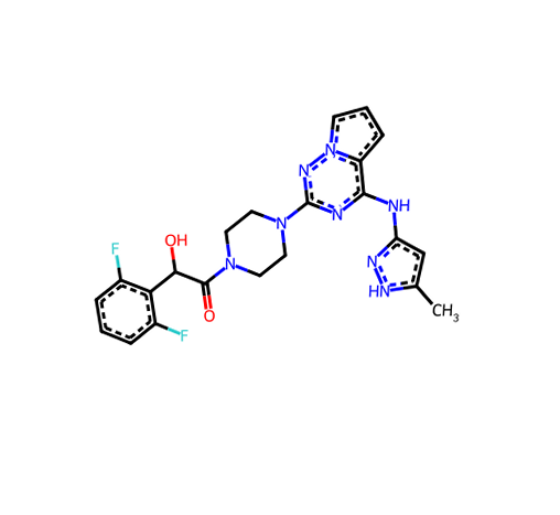 Cc1cc(Nc2nc(N3CCN(C(=O)C(O)c4c(F)cccc4F)CC3)nn3cccc23)n[nH]1